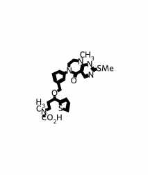 CSc1ncc2c(n1)N(C)CCN(c1cccc(COC(CCN(C)C(=O)O)c3cccs3)c1)C2=O